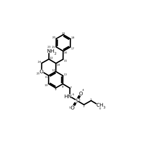 CCCS(=O)(=O)NCc1ccc2c(c1)C(Cc1ccccc1)C(N)CO2